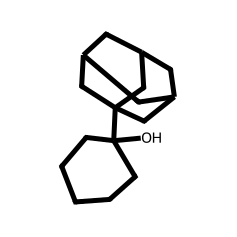 OC1(C23CC4CC(CC(C4)C2)C3)CCCCC1